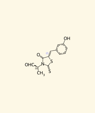 C[C@@H](C=O)N1C(=O)/C(=C/c2cccc(O)c2)SC1=S